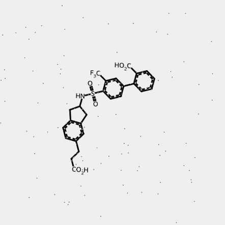 O=C(O)CCc1ccc2c(c1)CC(NS(=O)(=O)c1ccc(-c3ccccc3C(=O)O)cc1C(F)(F)F)C2